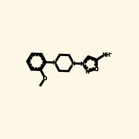 COc1ccccc1N1CCN([n+]2cc([NH-])on2)CC1